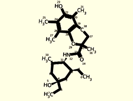 CC[C@H]1C[C@](O)(CC)C[C@@H](C)[C@@H]1NC(=O)C1(C)CCc2c(C)c(O)c(C)c(C)c2O1